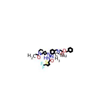 C=CC(=O)N1CCC[C@]2(C1)C[C@@H](n1c(NC(=O)c3ccc(C(F)F)s3)nc3cc(CN(CC(=O)OCc4ccccc4)[C@@H](C)C(C)(C)C)ccc31)C2